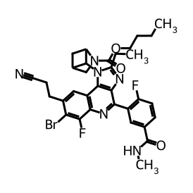 CCCCOC(=O)N1CC2CC1C2n1c(CC)nc2c(-c3cc(C(=O)NC)ccc3F)nc3c(F)c(Br)c(CCC#N)cc3c21